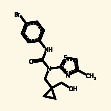 Cc1csc(N(CC2(CO)CC2)C(=O)Nc2ccc(Br)cc2)n1